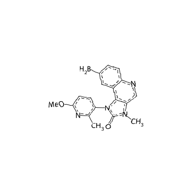 Bc1ccc2ncc3c(c2c1)n(-c1ccc(OC)nc1C)c(=O)n3C